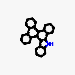 c1ccc2c(c1)[nH]c1c3ccccc3c3c4ccccc4c4ccccc4c3c21